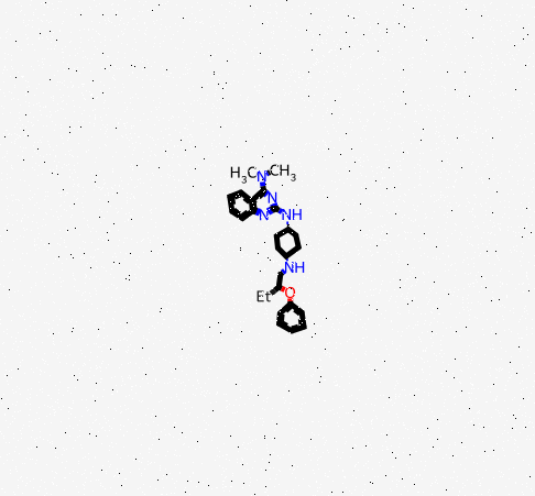 CCC(CN[C@H]1CC[C@@H](Nc2nc(N(C)C)c3ccccc3n2)CC1)Oc1ccccc1